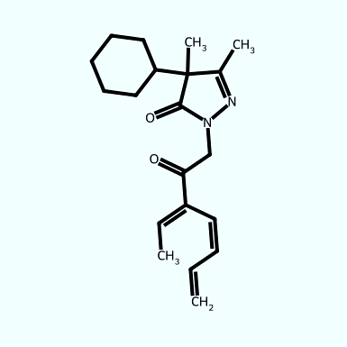 C=C/C=C\C(=C/C)C(=O)CN1N=C(C)C(C)(C2CCCCC2)C1=O